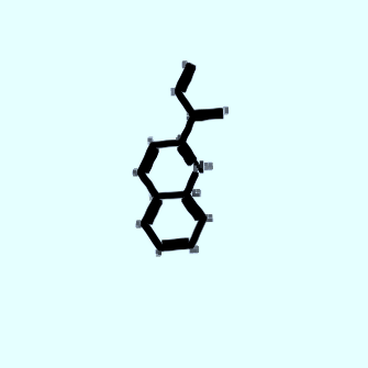 C=CC(=C)c1ccc2ccccc2n1